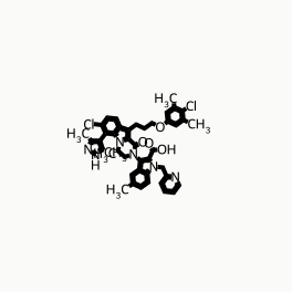 Cc1ccc2c(c1)c(N1CC(C)n3c(c(CCCOc4cc(C)c(Cl)c(C)c4)c4ccc(Cl)c(-c5c(C)n[nH]c5C)c43)C1=O)c(C(=O)O)n2Cc1ccccn1